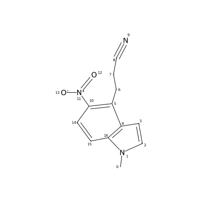 Cn1ccc2c(CCC#N)c([N+](=O)[O-])ccc21